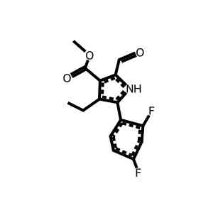 CCc1c(-c2ccc(F)cc2F)[nH]c(C=O)c1C(=O)OC